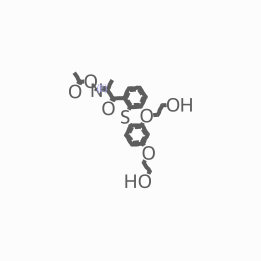 CC(=O)O/N=C(\C)C(=O)c1ccccc1Sc1ccc(OCCO)cc1OCCO